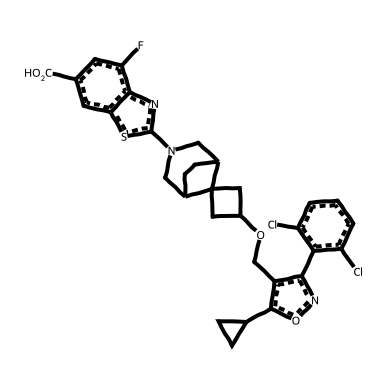 O=C(O)c1cc(F)c2nc(N3CC4CCC(C3)C43CC(OCc4c(-c5c(Cl)cccc5Cl)noc4C4CC4)C3)sc2c1